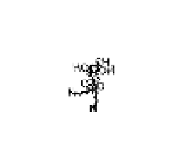 Cc1cc(O)c2c(c1O)SC(=C1C(=O)N(CCCC#N)N(CCCC#N)C1=O)S2